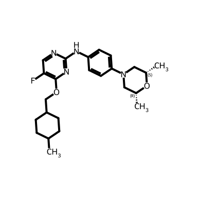 CC1CCC(COc2nc(Nc3ccc(N4C[C@@H](C)O[C@@H](C)C4)cc3)ncc2F)CC1